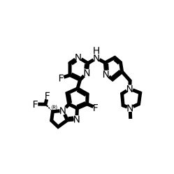 CN1CCN(Cc2ccc(Nc3ncc(F)c(-c4cc(F)c5nc6n(c5c4)[C@@H](C(F)F)CC6)n3)nc2)CC1